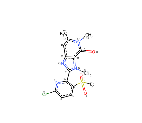 CCS(=O)(=O)c1ccc(Cl)nc1-c1nc2cc(C(F)(F)F)n(C)c(=O)c2n1C